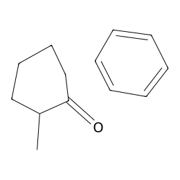 CC1CCCCC1=O.c1ccccc1